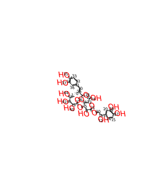 C[C@@H]1O[C@@H](O[C@@H]2[C@@H](O)[C@H](OCC(O)c3ccc(O)c(O)c3)O[C@H](CO)[C@H]2OC(=O)/C=C/c2ccc(O)c(O)c2)[C@H](O)[C@H](O)[C@H]1O